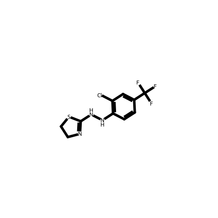 FC(F)(F)c1ccc(NNC2=NCCS2)c(Cl)c1